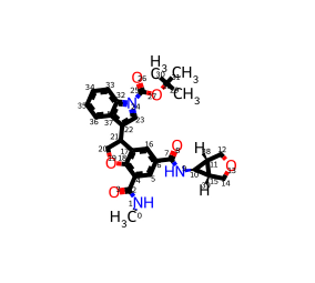 CNC(=O)c1cc(C(=O)N[C@H]2[C@@H]3COC[C@@H]32)cc2c1OCC2c1cn(C(=O)OC(C)(C)C)c2ccccc12